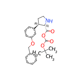 CC(C)(C)OC(=O)OC(=O)[C@H]1NCC[C@@H]1c1cccc(OCc2ccccc2)c1